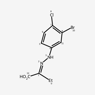 CC/C(=N\Nc1ccc(Cl)c(Br)c1)C(=O)O